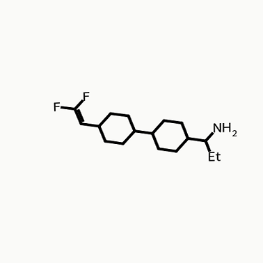 CCC(N)C1CCC(C2CCC(C=C(F)F)CC2)CC1